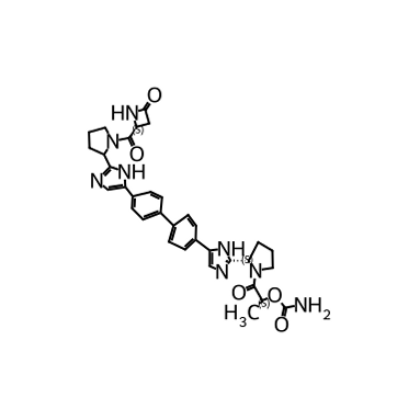 C[C@H](OC(N)=O)C(=O)N1CCC[C@H]1c1ncc(-c2ccc(-c3ccc(-c4cnc(C5CCCN5C(=O)[C@@H]5CC(=O)N5)[nH]4)cc3)cc2)[nH]1